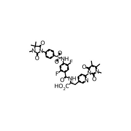 Cc1c(C)n(C)c(=O)n(-c2ccc(C[C@H](NC(=O)c3cc(F)c(NS(=O)(=O)c4ccc(N5C(=O)N(C)C(C)(C)C5=O)cc4)cc3F)C(=O)O)cn2)c1=O